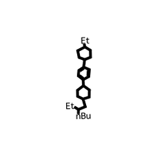 CCCCC(CC)CC1CCC(c2ccc(C3CCC(CC)CC3)cc2)CC1